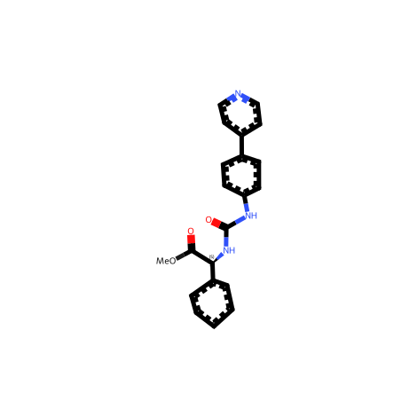 COC(=O)[C@@H](NC(=O)Nc1ccc(-c2ccncc2)cc1)c1ccccc1